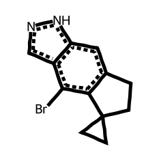 Brc1c2c(cc3[nH]ncc13)CCC21CC1